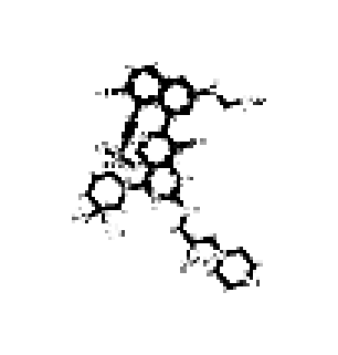 COCOc1cc(-c2ncc3c(N4CCC[C@@](C)(O)C4)nc(OC[C@@H](CN4CCNCC4)OC)nc3c2F)c2c(C#C[Si](C(C)C)(C(C)C)C(C)C)c(F)ccc2c1